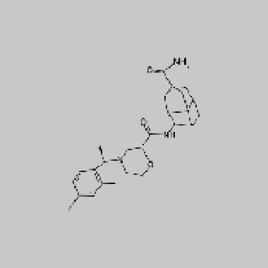 Cc1ccc([C@@H](C)N2CCOC(C(=O)NC3C4CC5CC3CC(C(N)=O)(C5)C4)C2)c(C)c1